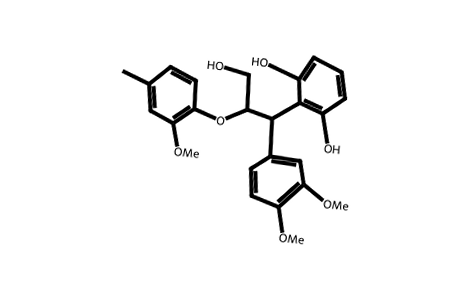 COc1ccc(C(c2c(O)cccc2O)C(CO)Oc2ccc(C)cc2OC)cc1OC